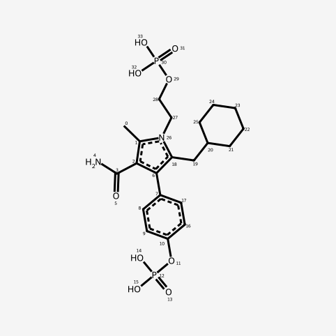 Cc1c(C(N)=O)c(-c2ccc(OP(=O)(O)O)cc2)c(CC2CCCCC2)n1CCOP(=O)(O)O